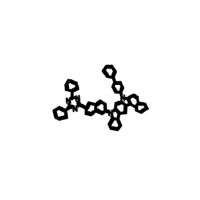 c1ccc(-c2ccc(-n3c4cc5c(cc4c4c6ccccc6ccc43)c3ccccc3n5-c3ccc4cc(-c5nc(-c6ccccc6)nc(-c6ccccc6)n5)ccc4c3)cc2)cc1